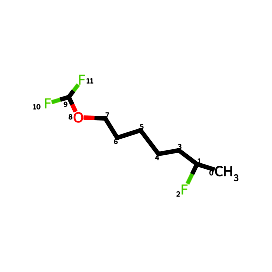 CC(F)CCCCCOC(F)F